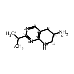 CC(C)c1ncc2c(n1)NCC(N)C2